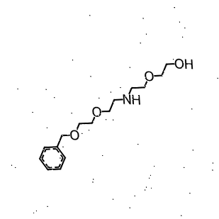 OCCOCCNCCOCCOCc1ccccc1